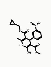 COC(=O)C1=C(O)NC(C)=C(C(=O)OCC2CC2)C1c1cccc([N+](=O)[O-])c1